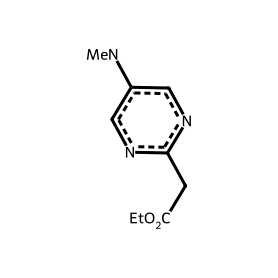 CCOC(=O)Cc1ncc(NC)cn1